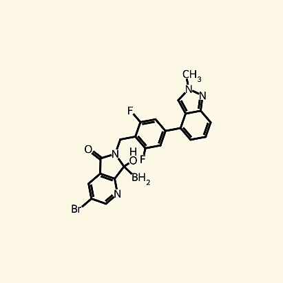 BC1(O)c2ncc(Br)cc2C(=O)N1Cc1c(F)cc(-c2cccc3nn(C)cc23)cc1F